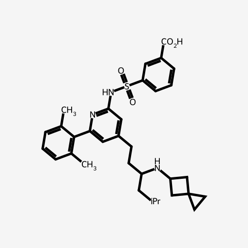 Cc1cccc(C)c1-c1cc(CCC(CC(C)C)NC2CC3(CC3)C2)cc(NS(=O)(=O)c2cccc(C(=O)O)c2)n1